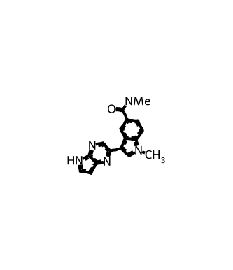 CNC(=O)c1ccc2c(c1)c(-c1cnc3[nH]ccc3n1)cn2C